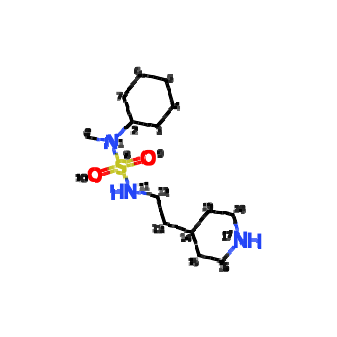 CN(C1CCCCC1)S(=O)(=O)NCCC1CCNCC1